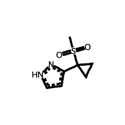 CS(=O)(=O)C1(c2cc[nH]n2)CC1